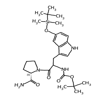 CC(C)(C)OC(=O)NC(Cc1c[nH]c2ccc(O[Si](C)(C)C(C)(C)C)cc12)C(=O)N1CCC[C@H]1C(N)=O